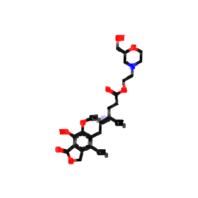 COc1c(O)c2c(c(C)c1C/C=C(\C)CCC(=O)OCCN1CCOC(CO)C1)COC2=O